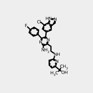 CC(C)(O)c1cccc(NCCc2nc(-c3cc(Cl)c4[nH]ncc4c3)c(-c3ccc(F)cc3)nc2N)n1